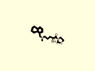 CN(CCC[C@H](N)C(=O)N1CCSC1)Cc1cccc2ccccc12